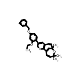 CCOc1cc(OCc2ccccc2)ccc1C1=CC2=C(OC1)C1=CC(C)(C=C2)OC(C)(C)C=C1